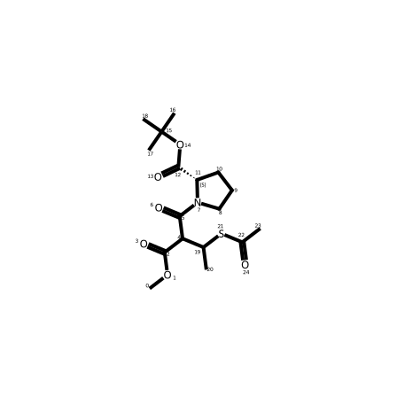 COC(=O)C(C(=O)N1CCC[C@H]1C(=O)OC(C)(C)C)C(C)SC(C)=O